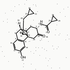 O=C(N[C@H]1C[C@@]2(O)[C@H]3Cc4ccc(O)cc4[C@@]2(CCN3CC2CC2)CC1=O)C1CC1